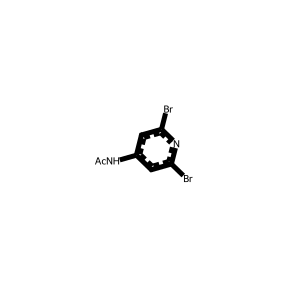 CC(=O)Nc1cc(Br)nc(Br)c1